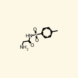 Cc1ccc(S(=O)(=O)NC(=O)CN)cc1